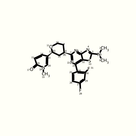 CN(C)c1nc2nc([C@@H]3CCO[C@H](c4ccc(=O)n(C)c4)C3)nc(-c3ccc(F)cc3F)c2s1